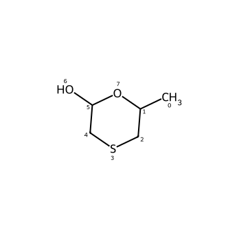 CC1CSCC(O)O1